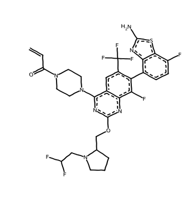 C=CC(=O)N1CCN(c2nc(OCC3CCCN3CC(F)F)nc3c(F)c(-c4ccc(F)c5sc(N)nc45)c(C(F)(F)F)cc23)CC1